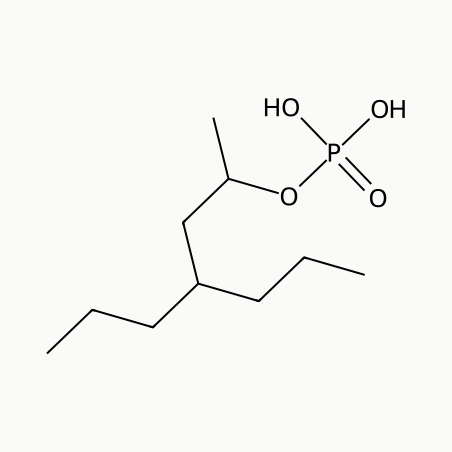 CCCC(CCC)CC(C)OP(=O)(O)O